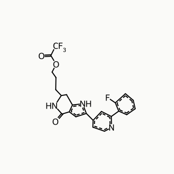 O=C1NC(CCCOC(=O)C(F)(F)F)Cc2[nH]c(-c3ccnc(-c4ccccc4F)c3)cc21